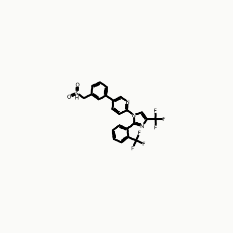 O=[SH](=O)Cc1cccc(-c2ccc(-n3cc(C(F)(F)F)nc3-c3ccccc3C(F)(F)F)nc2)c1